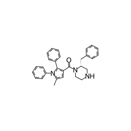 Cc1cc(C(=O)N2CCNC[C@H]2Cc2ccccc2)c(-c2ccccc2)n1-c1ccccc1